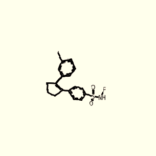 Cc1cccc(C2=C(c3ccc(S(=O)(=O)NF)cc3)CCC2)c1